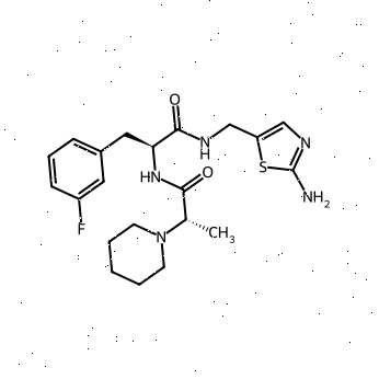 C[C@@H](C(=O)N[C@@H](Cc1cccc(F)c1)C(=O)NCc1cnc(N)s1)N1CCCCC1